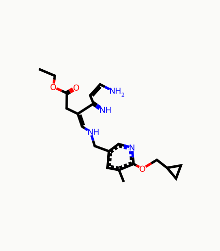 CCOC(=O)C/C(=C/NCc1cnc(OCC2CC2)c(C)c1)C(=N)/C=C\N